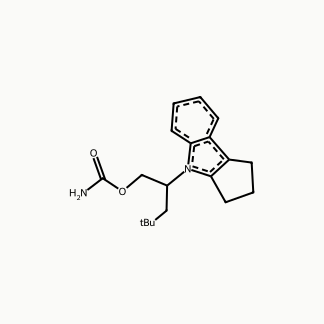 CC(C)(C)CC(COC(N)=O)n1c2c(c3ccccc31)CCC2